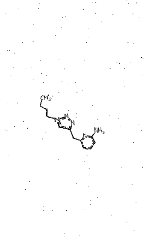 [CH2]CCCn1cc(Cc2cccc(N)n2)nn1